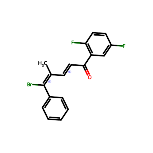 CC(/C=C/C(=O)c1cc(F)ccc1F)=C(\Br)c1ccccc1